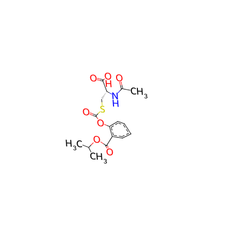 CC(=O)N[C@H](CSC(=O)Oc1ccccc1C(=O)OC(C)C)C(=O)O